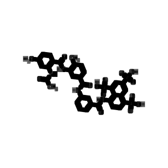 CC(=O)Nc1cc(C)ccc1C(=O)Nc1cc(C(=O)Nc2cccc(C(=O)Nc3ccc(S(=O)(=O)O)c4cc(S(=O)(=O)O)cc(S(=O)(=O)O)c34)c2)ccc1C